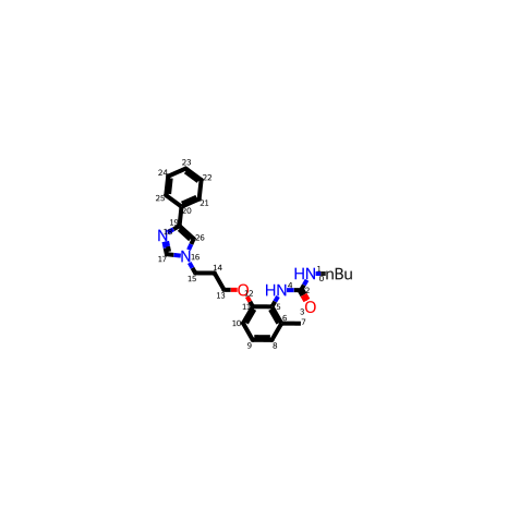 CCCCNC(=O)Nc1c(C)cccc1OCCCn1cnc(-c2ccccc2)c1